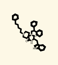 O=C1C(Cc2c[nH]c3ccccc23)NC(=O)C2(CCN(CCCCCc3ccccc3)CC2)N1CC(c1ccccc1)c1ccccc1